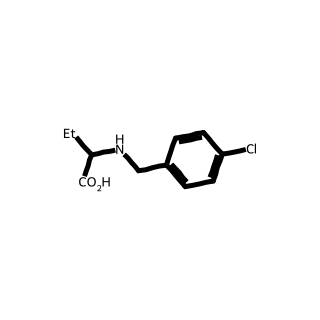 CCC(NCc1ccc(Cl)cc1)C(=O)O